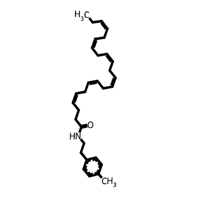 CC/C=C\C/C=C\C/C=C\C/C=C\C/C=C\C/C=C\CCC(=O)NCCc1ccc(C)cc1